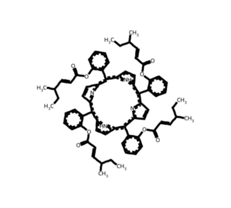 CCC(C)C=CC(=O)Oc1ccccc1-c1c2nc(c(-c3ccccc3OC(=O)C=CC(C)CC)c3ccc([nH]3)c(-c3ccccc3OC(=O)C=CC(C)CC)c3nc(c(-c4ccccc4OC(=O)C=CC(C)CC)c4ccc1[nH]4)C=C3)C=C2